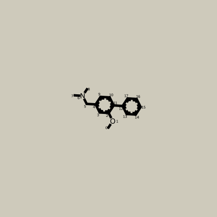 COc1cc(CN(C)C)ccc1-c1ccccc1